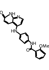 COc1ccccc1C(=O)Nc1ccc(Nc2ccnc3[nH]c(=O)ccc23)cc1